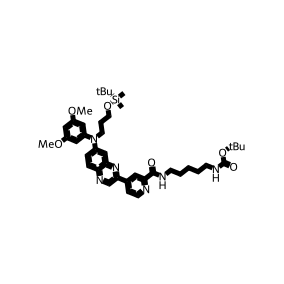 COc1cc(OC)cc(N(CCCO[Si](C)(C)C(C)(C)C)c2ccc3ncc(-c4ccnc(C(=O)NCCCCCNC(=O)OC(C)(C)C)c4)nc3c2)c1